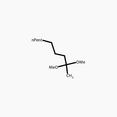 CCCCCCCCC(C)(OC)OC